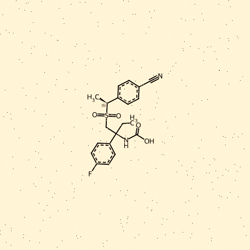 CCC(CS(=O)(=O)[C@@H](C)c1ccc(C#N)cc1)(NC(=O)O)c1ccc(F)cc1